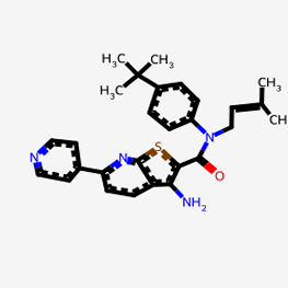 CC(C)=CCN(C(=O)c1sc2nc(-c3ccncc3)ccc2c1N)c1ccc(C(C)(C)C)cc1